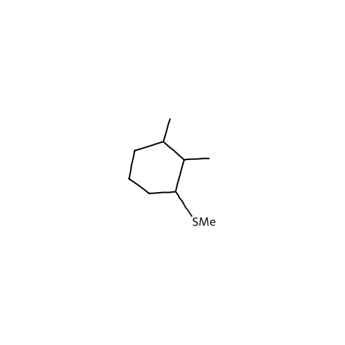 CSC1CCCC(C)C1C